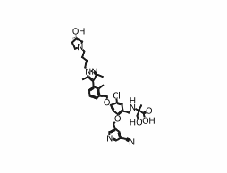 Cc1nn(CCCCN2CC[C@H](O)C2)c(C)c1-c1cccc(COc2cc(OCc3cncc(C#N)c3)c(CNC(C)(CO)C(=O)O)cc2Cl)c1C